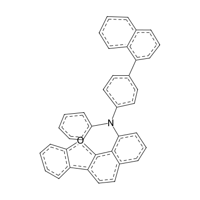 c1ccc(N(c2ccc(-c3cccc4ccccc34)cc2)c2cccc3ccc4c5ccccc5oc4c23)cc1